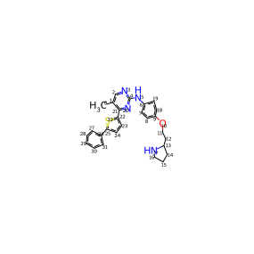 Cc1cnc(Nc2ccc(OCCC3CCCN3)cc2)nc1-c1ccc(-c2ccccc2)s1